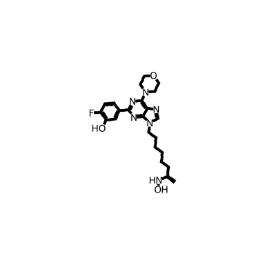 C=C(CCCCCCn1cnc2c(N3CCOCC3)nc(-c3ccc(F)c(O)c3)nc21)NO